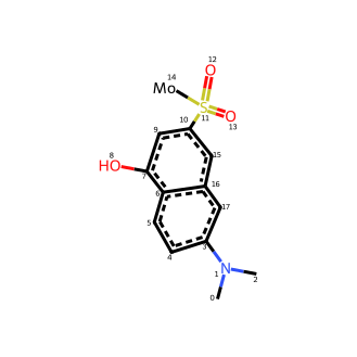 CN(C)c1ccc2c(O)cc([S](=O)(=O)[Mo])cc2c1